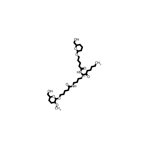 CCCCCC(=O)[C@@H](CCCCNC(=O)CCCCOC1OC(CO)CCC1OC)NC(=O)CCCCOC1CCCC(CO)O1